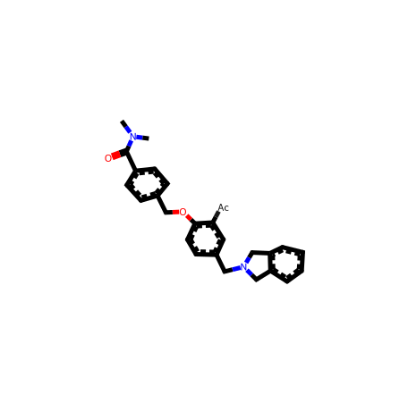 CC(=O)c1cc(CN2Cc3ccccc3C2)ccc1OCc1ccc(C(=O)N(C)C)cc1